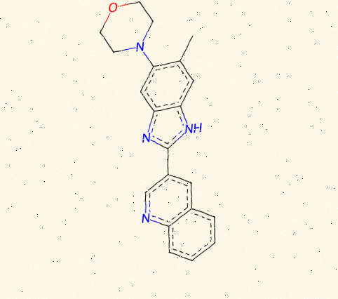 Cc1cc2[nH]c(-c3cnc4ccccc4c3)nc2cc1N1CCOCC1